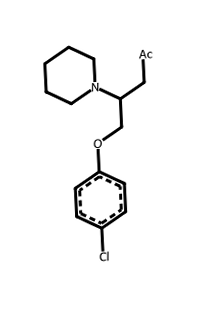 CC(=O)CC(COc1ccc(Cl)cc1)N1CCCCC1